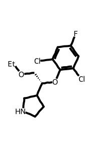 CCOC[C@H](Oc1c(Cl)cc(F)cc1Cl)C1CCNC1